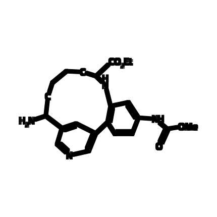 CCOC(=O)C1CCCCC(N)c2cncc(c2)-c2ccc(NC(=O)OC)cc2N1